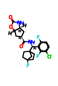 O=C1N[C@H]2C[C@H](C(=O)N[C@H](c3c(F)ccc(Cl)c3F)C34CCC(F)(CC3)C4)C[C@H]2O1